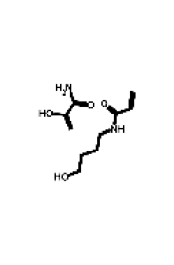 C=C(O)C(N)=O.C=CC(=O)NCCCCO